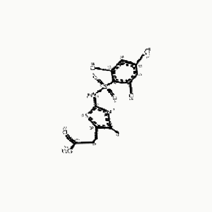 Cc1nc(NS(=O)(=O)c2c(Cl)cc(Cl)cc2Cl)sc1CC(=O)O